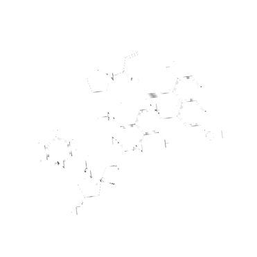 C#Cc1c(F)ccc2cc(O)cc(-c3ncc4c(N(C)C[C@@H]5CCCN5C(=O)C=C)nc(OC[C@]5(C)C[C@@H](F)CN5Cc5ccccn5)nc4c3F)c12